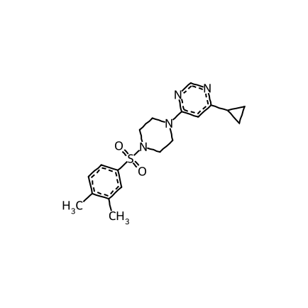 Cc1ccc(S(=O)(=O)N2CCN(c3cc(C4CC4)ncn3)CC2)cc1C